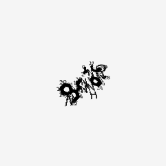 CC(C)N1c2cc(Nc3nccc(-c4ccnc5ccccc45)n3)ccc2N(C)C(=O)C1C